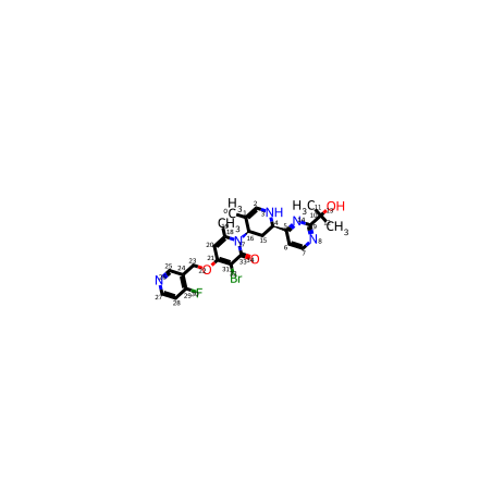 CC1=CN[C@@H](c2ccnc(C(C)(C)O)n2)C[C@H]1n1c(C)cc(OCc2cnccc2F)c(Br)c1=O